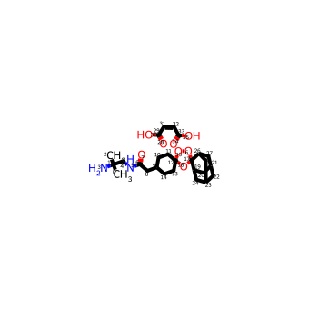 CC(C)(N)CNC(=O)CC1CCC2(CC1)OOC1(O2)C2CC3CC(C2)CC1C3.O=C(O)/C=C\C(=O)O